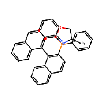 CC(C)C1COC(c2ccc3ccccc3c2-c2c(P(c3ccccc3)c3ccccc3)ccc3ccccc23)=N1